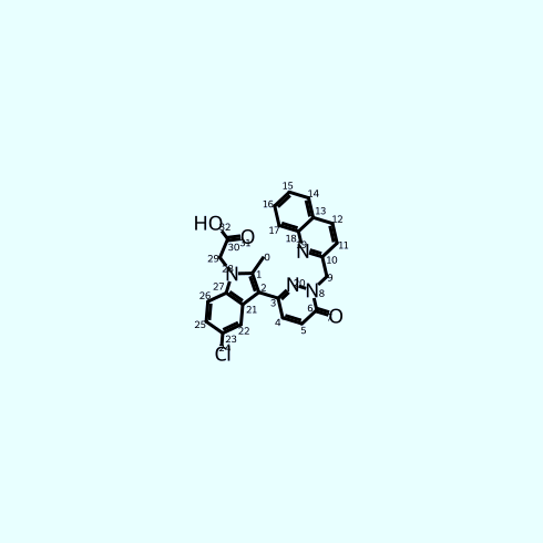 Cc1c(-c2ccc(=O)n(Cc3ccc4ccccc4n3)n2)c2cc(Cl)ccc2n1CC(=O)O